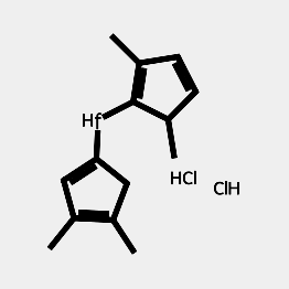 CC1=C(C)C[C]([Hf][C]2=C(C)C=CC2C)=C1.Cl.Cl